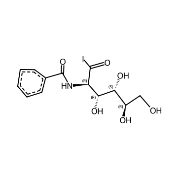 O=C(N[C@@H](C(=O)I)[C@@H](O)[C@H](O)[C@H](O)CO)c1ccccc1